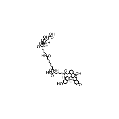 O=C(O)CCC(NC(=O)N[C@@H](CCCCNC(=O)CCCCCCC(=O)NC(CCCCNC(=O)Cc1cccc(C(=O)O)c1-c1c2ccc3cc(O)ccc3c2oc2c1ccc1cc(=O)ccc12)C(=O)O)C(=O)O)C(=O)O